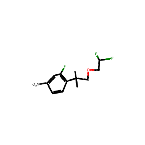 CC(C)(COCC(F)F)c1ccc([N+](=O)[O-])cc1F